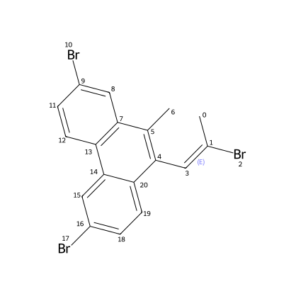 C/C(Br)=C\c1c(C)c2cc(Br)ccc2c2cc(Br)ccc12